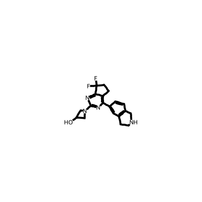 OC1CN(c2nc(-c3ccc4c(c3)CCNC4)c3c(n2)C(F)(F)CC3)C1